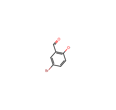 [O]c1ccc(Br)cc1C=O